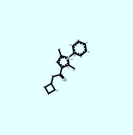 Cc1cc(C(=O)CC2CCC2)c(C)n1-c1ccccc1